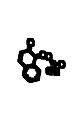 O=C1C=Cc2ccccc2C1=O.O=[SH](=O)O